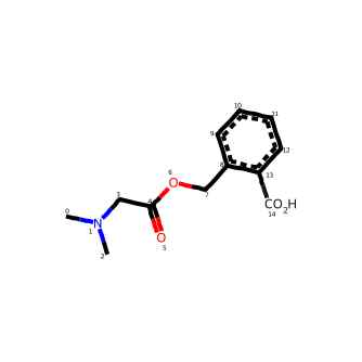 CN(C)CC(=O)OCc1ccccc1C(=O)O